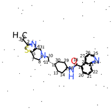 CCc1nc2c(s1)CCN(CC[C@H]1CC[C@H](NC(=O)c3cccc4ncccc34)CC1)C2